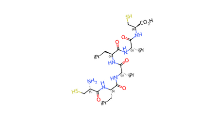 CC(C)C[C@H](NC(=O)[C@@H](NC(=O)[C@H](CC(C)C)NC(=O)[C@@H](N)CS)C(C)C)C(=O)N[C@H](C(=O)N[C@@H](CS)C(=O)O)C(C)C